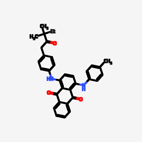 CCC(C)(C)C(=O)Cc1ccc(Nc2ccc(Nc3ccc(C)cc3)c3c2C(=O)c2ccccc2C3=O)cc1